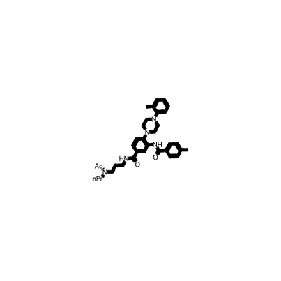 CCCN(CCCNC(=O)c1ccc(N2CCN(c3ccccc3C)CC2)c(NC(=O)c2ccc(C)cc2)c1)C(C)=O